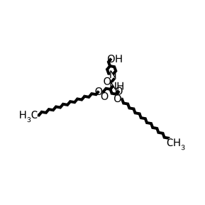 CCCCCCCCCCCCCCCCCCOC(=O)CC(CC(=O)OCCCCCCCCCCCCCCCCCC)NC(=O)CN1CCC(CO)CC1